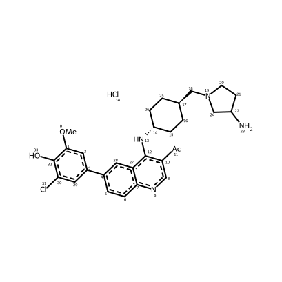 COc1cc(-c2ccc3ncc(C(C)=O)c(N[C@H]4CC[C@H](CN5CCC(N)C5)CC4)c3c2)cc(Cl)c1O.Cl